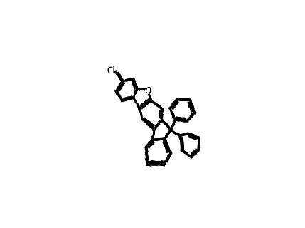 Clc1ccc2c(c1)oc1cc3c(cc12)-c1ccccc1C3(c1ccccc1)c1ccccc1